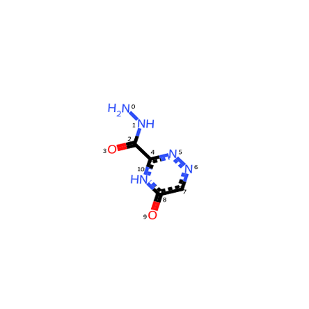 NNC(=O)c1nncc(=O)[nH]1